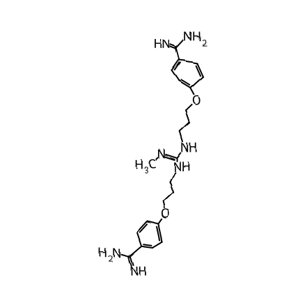 CN=C(NCCCOc1ccc(C(=N)N)cc1)NCCCOc1ccc(C(=N)N)cc1